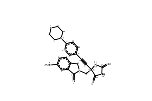 COc1ccc2c(c1)C(=O)N(C[C@@]1(C#Cc3ccc(N4CCOCC4)nc3)NC(=O)NC1=O)C2